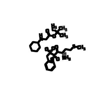 CC(C)(C)OC(=O)CNC1CCCCC1.CSCC[C@H](N)C(=O)S(=O)(=O)S(=O)(=O)Cc1ccccc1